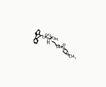 CN1CCN(C(=O)NCCCC[C@H](NC(=O)OCC2c3ccccc3-c3ccccc32)C(=O)O)CC1